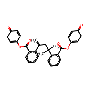 C=C(CC(C)(C)c1ccccc1C(=O)OC1=CCC(=O)C=C1)c1ccccc1C(=O)OC1=CCC(=O)C=C1